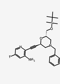 CC(C)(C)[Si](C)(C)OC[C@@H]1CN(Cc2ccccc2)C[C@@H](C#Cc2ncc(F)cc2N)O1